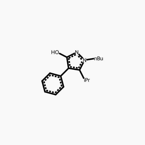 CCCCn1nc(O)c(-c2ccccc2)c1C(C)C